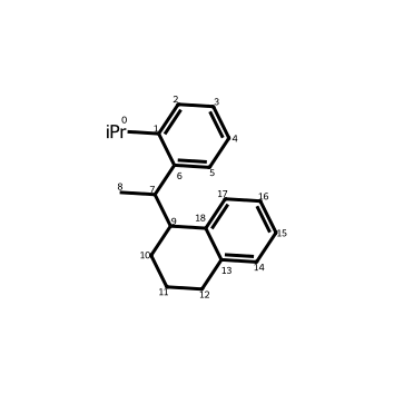 CC(C)c1ccccc1C(C)C1CCCc2ccccc21